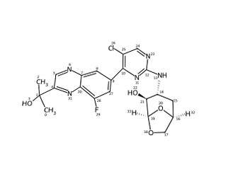 CC(C)(O)c1cnc2cc(-c3nc(N[C@@H]4C[C@H]5CO[C@H](O5)[C@H]4O)ncc3Cl)cc(F)c2n1